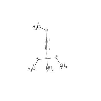 CCC#CC(N)(CC)CC